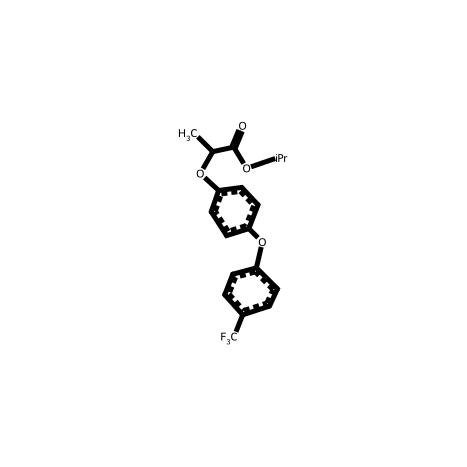 CC(C)OC(=O)C(C)Oc1ccc(Oc2ccc(C(F)(F)F)cc2)cc1